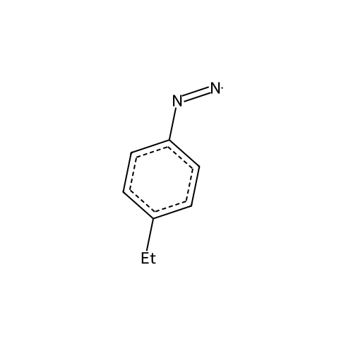 CCc1ccc(N=[N])cc1